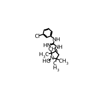 CC1(C)CC(NC(=N)Nc2cccc(Cl)c2)C(C)(C)N1O